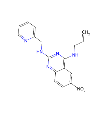 C=CCNc1nc(NCc2ccccn2)nc2ccc([N+](=O)[O-])cc12